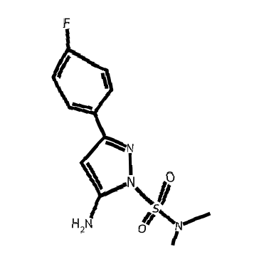 CN(C)S(=O)(=O)n1nc(-c2ccc(F)cc2)cc1N